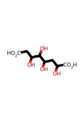 O=C(O)CC(O)C(O)C(O)CC(O)C(=O)O